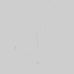 COC(O)CCCCC=O